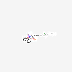 CCCCCCCC(F)(F)CCCCCCC=C[C@H](C(=O)N1C(=S)OC(c2ccccc2)(c2ccccc2)[C@@H]1C(C)C)[C@@](O)(CCF)C(=O)O